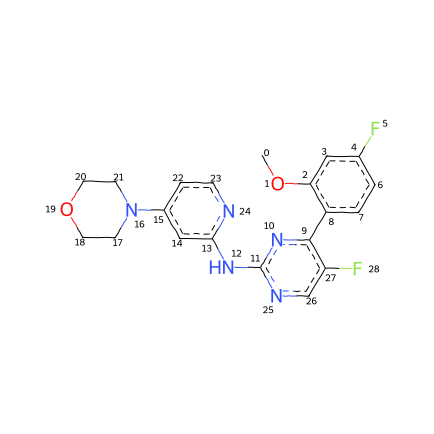 COc1cc(F)ccc1-c1nc(Nc2cc(N3CCOCC3)ccn2)ncc1F